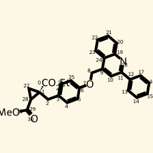 CCOC(=O)[C@@]1(Cc2ccc(OCc3cc(-c4ccccc4)nc4ccccc34)cc2)CC1C(=O)OC